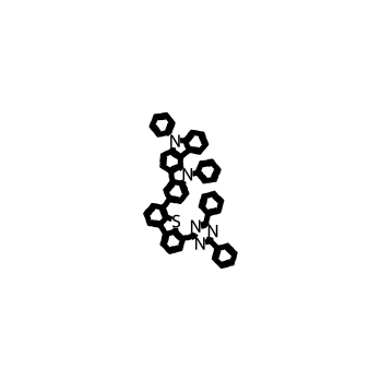 c1ccc(-c2nc(-c3ccccc3)nc(-c3cccc4c3sc3c(-c5ccc6c(c5)c5ccc7c(c8ccccc8n7-c7ccccc7)c5n6-c5ccccc5)cccc34)n2)cc1